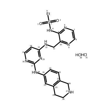 CCS(=O)(=O)Nc1nccnc1CNc1ccnc(Nc2ccc3c(c2)CCNC3)n1.Cl.Cl